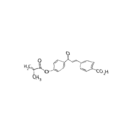 C=C(C)C(=O)Oc1ccc(C(=O)C=Cc2ccc(C(=O)O)cc2)cc1